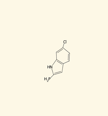 Pc1cc2ccc(Cl)cc2[nH]1